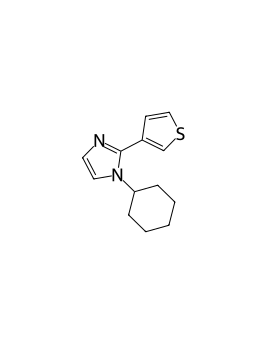 c1cn(C2CCCCC2)c(-c2ccsc2)n1